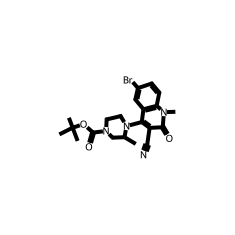 CC1CN(C(=O)OC(C)(C)C)CCN1c1c(C#N)c(=O)n(C)c2ccc(Br)cc12